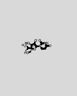 CC(F)[C@]1(CO)OC(n2ccc(=O)[nH]c2=O)=C(Cl)[C@@H]1O